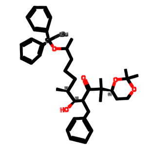 CC(CCC[C@H](C)[C@H](O)C(Cc1ccccc1)C(=O)C(C)(C)[C@@H]1CCOC(C)(C)O1)O[Si](c1ccccc1)(c1ccccc1)C(C)(C)C